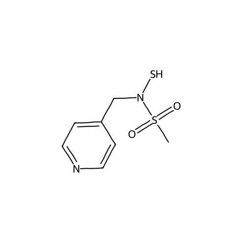 CS(=O)(=O)N(S)Cc1ccncc1